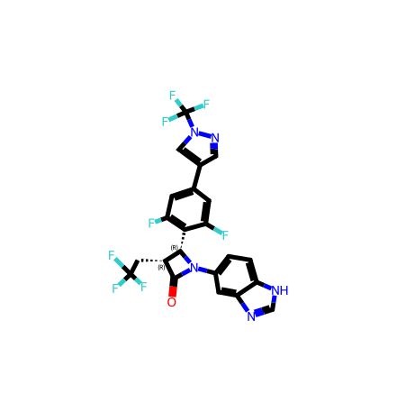 O=C1[C@H](CC(F)(F)F)[C@H](c2c(F)cc(-c3cnn(C(F)(F)F)c3)cc2F)N1c1ccc2[nH]cnc2c1